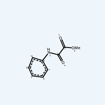 COC(=O)C(=O)Nc1ccccc1